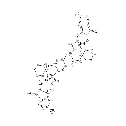 O=C1C(=O)c2ccc(C(F)(F)F)cc2/C1=C/C1NC2=C(S1)C1=CC3C=C4OC5(CCCCC5)C5=C(SC(/C=C6/c7cc(C(F)(F)F)ccc7C(=O)C6O)N5)C4=CC3C=C1OC21CCCCC1